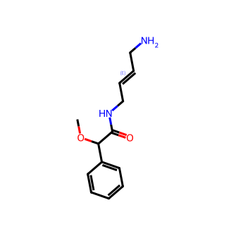 COC(C(=O)NC/C=C/CN)c1ccccc1